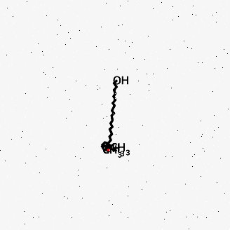 CC1CCC2CC1(CCCCCCCCCCCCCCCCCCO)C2(C)C